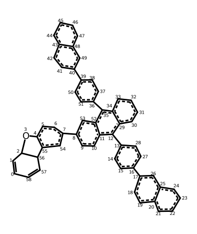 C1=CC2Oc3ccc(-c4ccc5c(-c6ccc(-c7ccc8ccccc8c7)cc6)c6ccccc6c(-c6ccc(-c7ccc8ccccc8c7)cc6)c5c4)cc3C2C=C1